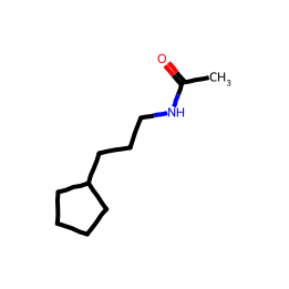 CC(=O)NCCCC1CCCC1